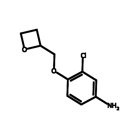 Nc1ccc(OCC2CCO2)c(Cl)c1